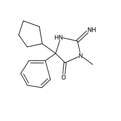 CN1C(=N)NC(c2ccccc2)(C2CCCC2)C1=O